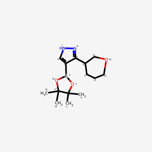 CC1(C)OB(c2c[nH]nc2C2CCCOC2)OC1(C)C